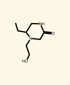 CCC1CNC(=O)CN1CCO